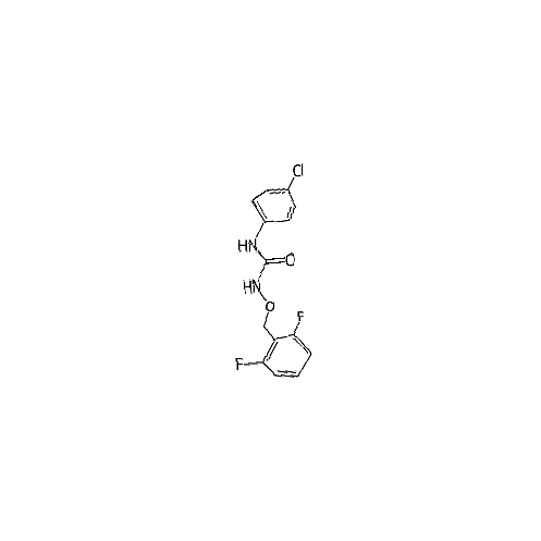 O=C(NOCc1c(F)cccc1F)Nc1ccc(Cl)cc1